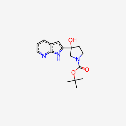 CC(C)(C)OC(=O)N1CCC(O)(c2cc3cccnc3[nH]2)C1